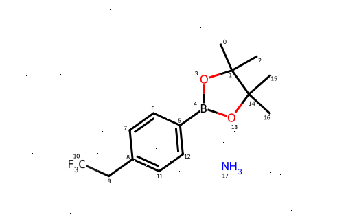 CC1(C)OB(c2ccc(CC(F)(F)F)cc2)OC1(C)C.N